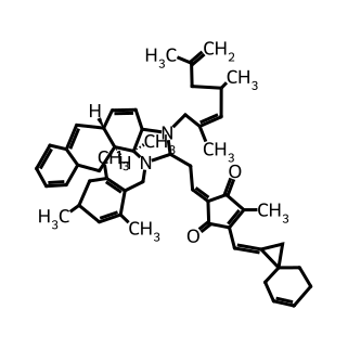 C=C(C)CC(C)/C=C(/C)CN1C(C/C=C2\C(=O)C(C)=C(/C=C3\CC34CC=CCC4)C2=O)N(CC2=C(C)CC(C)C=C2C)[C@]2(C)C1C=C[C@H]1C=C3C=CC=CC3C[C@@H]12